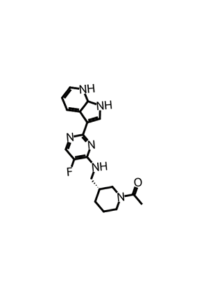 CC(=O)N1CCC[C@H](CNc2nc(C3=CNC4NC=CC=C34)ncc2F)C1